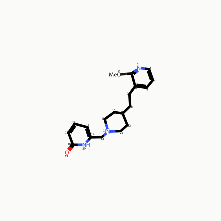 COc1ncccc1CCC1CCN(Cc2cccc(=O)[nH]2)CC1